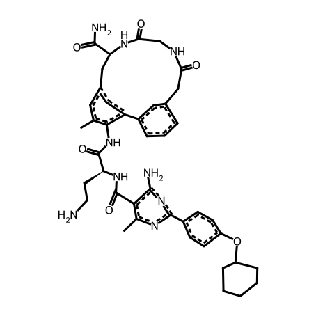 Cc1cc2cc(c1NC(=O)[C@H](CCN)NC(=O)c1c(C)nc(-c3ccc(OC4CCCCC4)cc3)nc1N)-c1cccc(c1)CC(=O)NCC(=O)NC(C(N)=O)C2